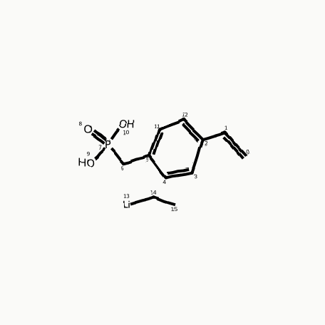 C=Cc1ccc(CP(=O)(O)O)cc1.[Li][CH2]C